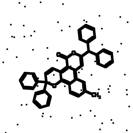 Cc1ccc2c3c(c4c(=O)oc(C(c5ccccc5)c5ccccc5)cc4c2c1)C=CC(c1ccccc1)(c1ccccc1)O3